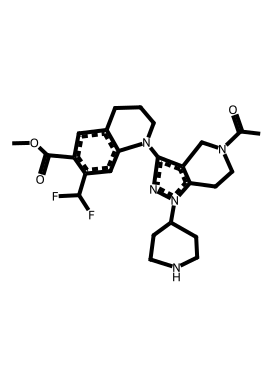 COC(=O)c1cc2c(cc1C(F)F)N(c1nn(C3CCNCC3)c3c1CN(C(C)=O)CC3)CCC2